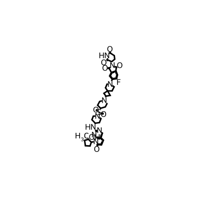 C[C@@]1(O)CCCC1n1c(=O)ccc2cnc(NC3CCN(S(=O)(=O)C4CCN(C5CC6(CCN(c7cc8c(cc7F)C(=O)N(C7CCC(=O)NC7=O)C8=O)CC6)C5)CC4)CC3)nc21